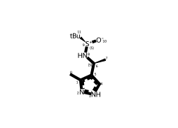 Cc1n[nH]cc1[C@H](C)N[S@+]([O-])C(C)(C)C